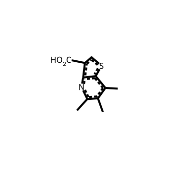 Cc1nc2c(C(=O)O)csc2c(C)c1C